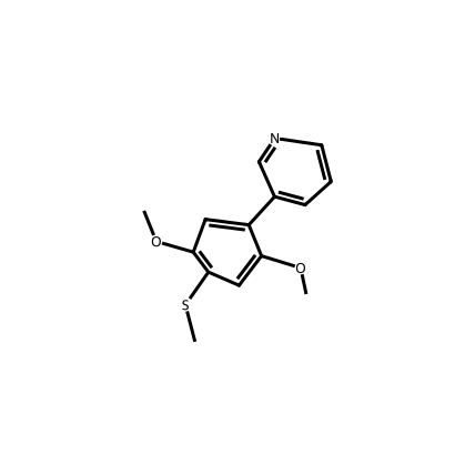 COc1cc(-c2cccnc2)c(OC)cc1SC